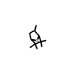 CC1CC2OC1C(C)(C)C2(C)C